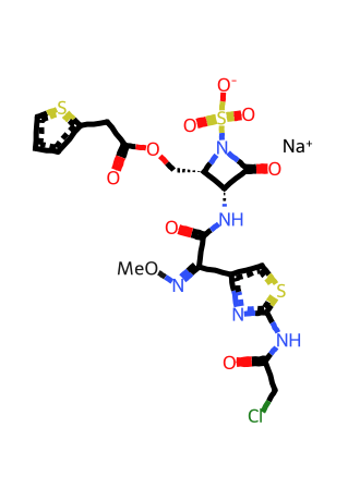 CO/N=C(\C(=O)N[C@H]1C(=O)N(S(=O)(=O)[O-])[C@H]1COC(=O)Cc1cccs1)c1csc(NC(=O)CCl)n1.[Na+]